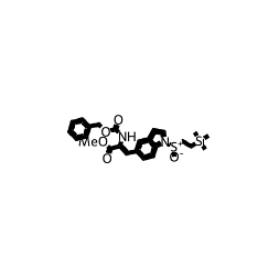 COC(=O)C(=Cc1ccc2c(ccn2[S+]([O-])CC[Si](C)(C)C)c1)NC(=O)OCc1ccccc1